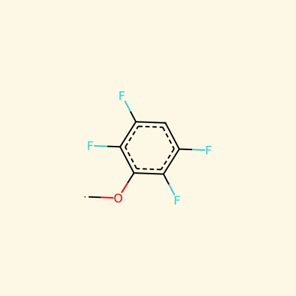 [CH2]Oc1c(F)c(F)cc(F)c1F